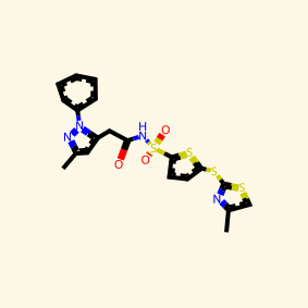 Cc1csc(Sc2ccc(S(=O)(=O)NC(=O)Cc3cc(C)nn3-c3ccccc3)s2)n1